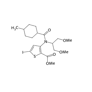 COCC(COC)N(C(=O)C1CCC(C)CC1)c1cc(I)sc1C(=O)OC